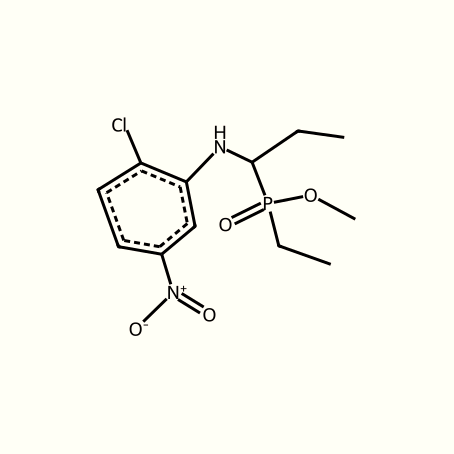 CCC(Nc1cc([N+](=O)[O-])ccc1Cl)P(=O)(CC)OC